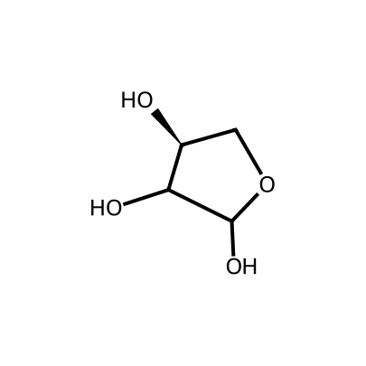 OC1OC[C@H](O)C1O